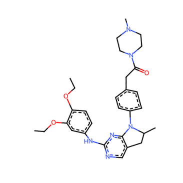 CCOc1ccc(Nc2ncc3c(n2)N(c2ccc(CC(=O)N4CCN(C)CC4)cc2)C(C)C3)cc1OCC